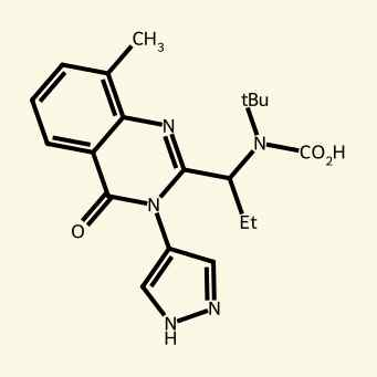 CCC(c1nc2c(C)cccc2c(=O)n1-c1cn[nH]c1)N(C(=O)O)C(C)(C)C